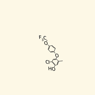 Cc1cc(O)c(Cl)cc1Oc1ccc(OCC(F)(F)F)cc1